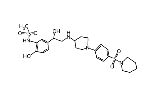 CS(=O)(=O)Nc1cc([C@@H](O)CNC2CCN(c3ccc(S(=O)(=O)N4CCCCC4)cc3)CC2)ccc1O